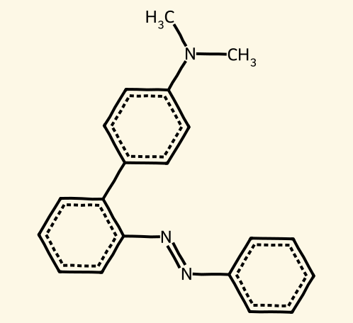 CN(C)c1ccc(-c2ccccc2N=Nc2ccccc2)cc1